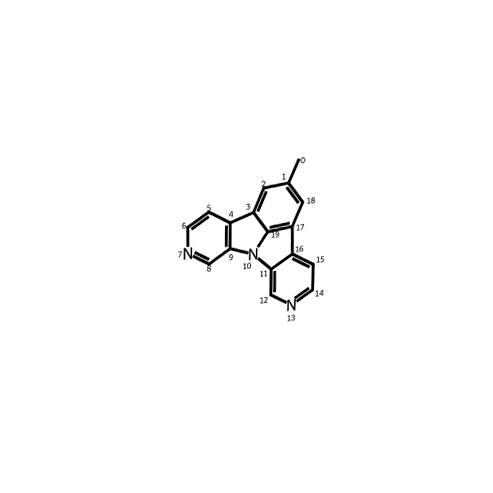 Cc1cc2c3ccncc3n3c4cnccc4c(c1)c23